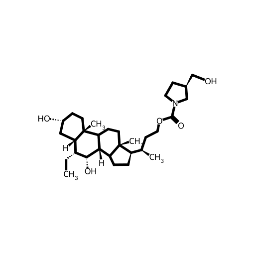 CC[C@H]1[C@@H](O)[C@H]2C3CC[C@H]([C@H](C)CCOC(=O)N4CC[C@@H](CO)C4)[C@@]3(C)CCC2[C@@]2(C)CC[C@@H](O)C[C@@H]12